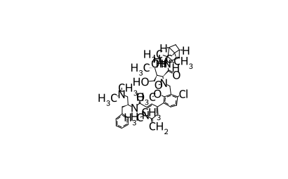 C=C(/C=C(\C=C\C(=O)N[C@@H](Cc1ccccc1)CN(C)C)c1ccc(Cl)c(CN2OC(O)[C@@H]([C@H](C)O)[C@H]2C(=O)N[C@H]2C[C@H]3C[C@@H]([C@@H]2C)C3(C)C)c1OC)N(C)C